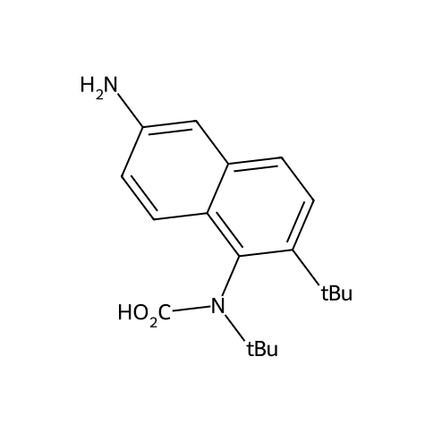 CC(C)(C)c1ccc2cc(N)ccc2c1N(C(=O)O)C(C)(C)C